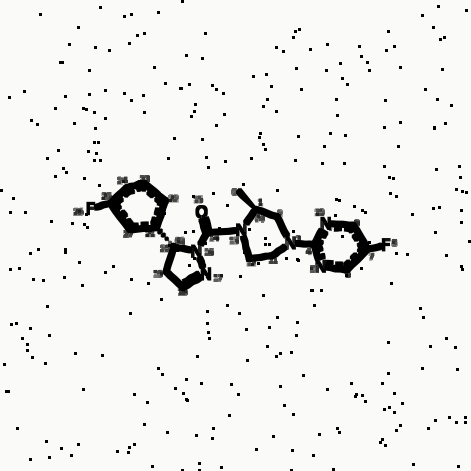 C[C@H]1CN(c2ncc(F)cn2)CCN1C(=O)N1N=CC[C@@H]1c1cccc(F)c1